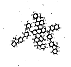 Cc1ccc(N(c2ccc(-c3ccc4c(c3)C(C)(C)c3ccccc3-4)cc2)c2ccc3c(-c4ccc5c6c(cccc46)C(C)(C)c4ccccc4-5)c4cc(N(c5ccc(-c6ccc7c(c6)C(C)(C)c6ccccc6-7)cc5)c5ccc6ccccc6c5)ccc4c(-c4ccc5c6c(cccc46)C(C)(C)c4ccccc4-5)c3c2)cc1